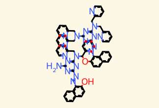 Nc1nc(/N=N/c2c(O)ccc3ccccc23)nc(N(Cc2ccccn2)C(Oc2ccc3ccccc3c2/N=N/c2nc(N(Cc3ccccn3)Cc3ccccn3)nc(N(Cc3ccccn3)Cc3ccccn3)n2)c2ccccn2)n1